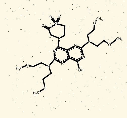 COCCN(CCOC)c1nc(N2CCS(=O)(=O)C(=O)C2)c2nc(N(CCOC)CCOC)nc(O)c2n1